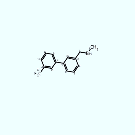 CBCc1cccc(-c2cccc(C(F)(F)F)c2)c1